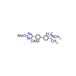 COc1ncc(-c2ccc(-c3ccc(C(C)N(C)C)cc3)cc2)c(OC)n1